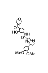 COc1ccc(-c2ccnc3cc(C(=O)Nc4ccc(C(=O)N5CCOCC5)c(O)c4)nn23)cc1OC